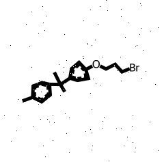 Cc1ccc(C(C)(C)c2ccc(OCCCBr)cc2)cc1